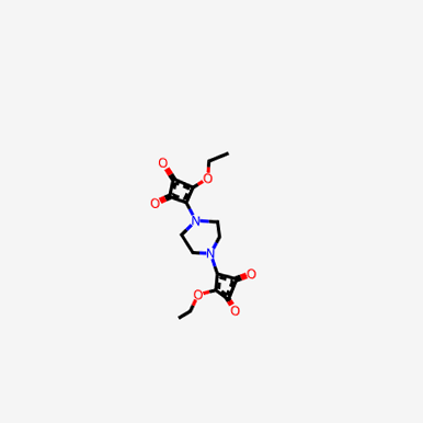 CCOc1c(N2CCN(c3c(OCC)c(=O)c3=O)CC2)c(=O)c1=O